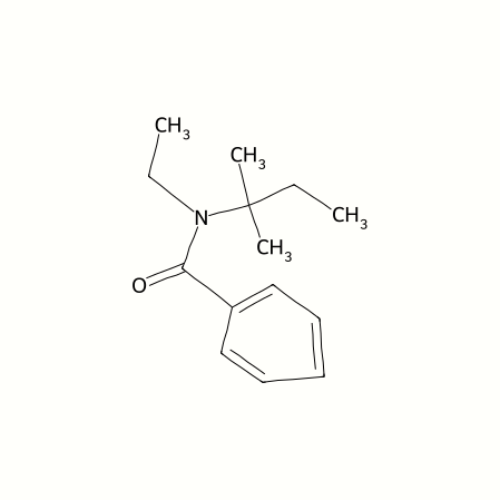 CCN(C(=O)c1ccccc1)C(C)(C)CC